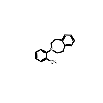 N#Cc1ccccc1N1CCc2ccccc2CC1